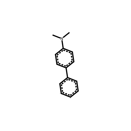 CN(C)c1ccc(-c2c[c][c]cc2)cc1